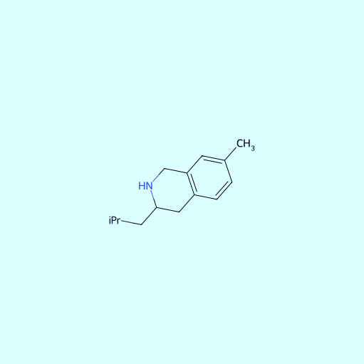 Cc1ccc2c(c1)CNC(CC(C)C)C2